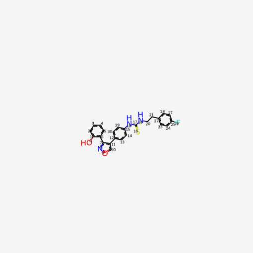 Oc1ccccc1-c1nocc1-c1ccc(NC(=S)NCCc2ccc(F)cc2)cc1